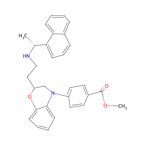 COC(=O)c1ccc(N2CC(CCN[C@H](C)c3cccc4ccccc34)Oc3ccccc32)cc1